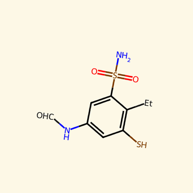 CCc1c(S)cc(NC=O)cc1S(N)(=O)=O